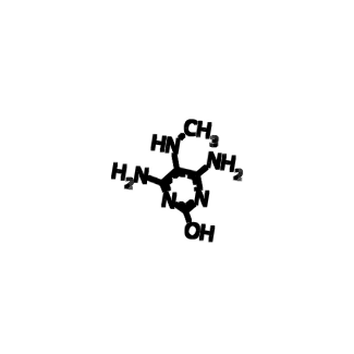 CNc1c(N)nc(O)nc1N